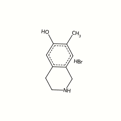 Br.Cc1cc2c(cc1O)CCNC2